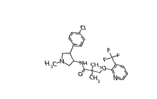 CN1CC(NC(=O)C(C)(C)COc2ncccc2C(F)(F)F)C(c2ccc(Cl)cc2)C1